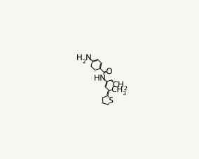 C=C/C(=C\C(C)=C1/CCCS1)NC(=O)C1=CC=C(N)CC1